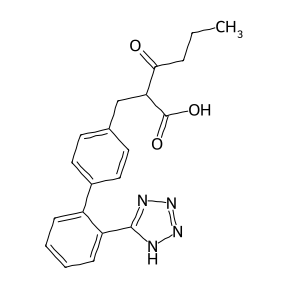 CCCC(=O)C(Cc1ccc(-c2ccccc2-c2nnn[nH]2)cc1)C(=O)O